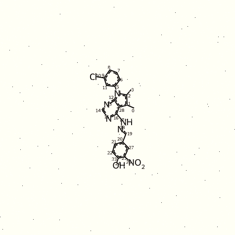 Cc1c(C)n(-c2cccc(Cl)c2)c2ncnc(NN=Cc3ccc(O)c([N+](=O)[O-])c3)c12